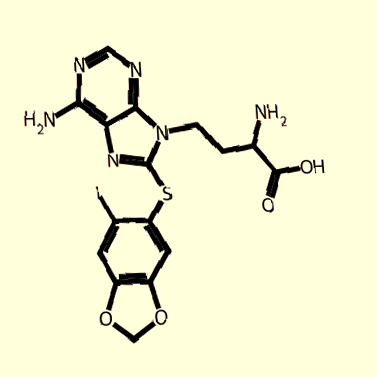 Nc1ncnc2c1nc(Sc1cc3c(cc1I)OCO3)n2CCC(N)C(=O)O